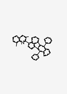 Cc1cc2cccc(C)c2nc1-c1ccc2c3c(cccc13)-c1c-2c(-c2ccccc2)c2ccccc2c1-c1ccccc1